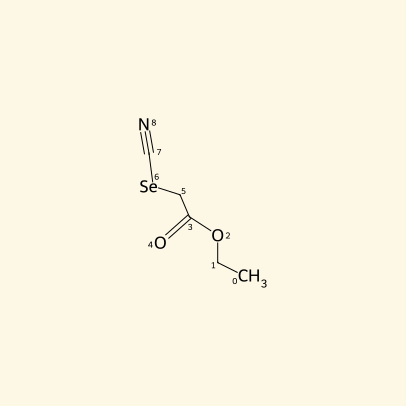 CCOC(=O)C[Se]C#N